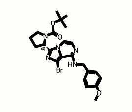 COc1ccc(CNc2nccn3c([C@@H]4CCCN4C(=O)OC(C)(C)C)nc(Br)c23)cc1